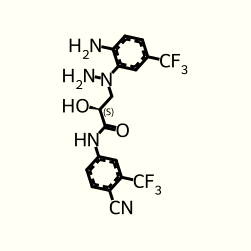 N#Cc1ccc(NC(=O)[C@@H](O)CN(N)c2cc(C(F)(F)F)ccc2N)cc1C(F)(F)F